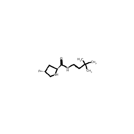 CC(C)(C)CCNC(=O)[C@@H]1C[C@@H](F)CN1